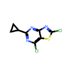 Clc1nc2nc(C3CC3)nc(Cl)c2s1